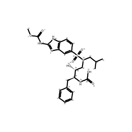 COC(=O)Nc1nc2cc(S(=O)(=O)N(CC(C)C)C[C@@H](O)[C@H](Cc3ccccc3)NC(=O)O)ccc2[nH]1